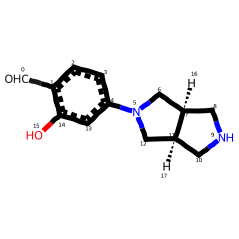 O=Cc1ccc(N2C[C@H]3CNC[C@H]3C2)cc1O